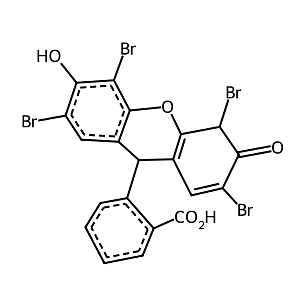 O=C(O)c1ccccc1C1C2=C(Oc3c1cc(Br)c(O)c3Br)C(Br)C(=O)C(Br)=C2